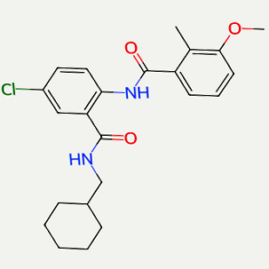 COc1cccc(C(=O)Nc2ccc(Cl)cc2C(=O)NCC2CCCCC2)c1C